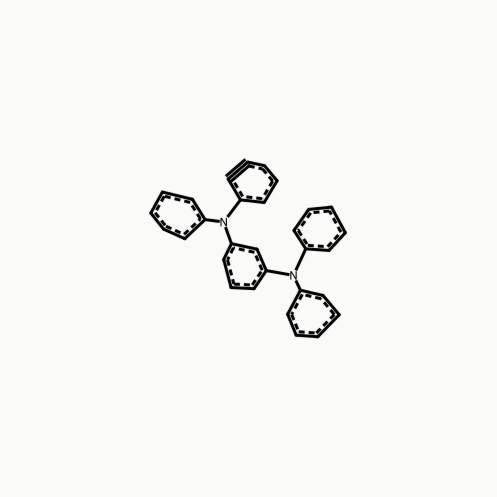 c1cccc(N(c2ccccc2)c2cccc(N(c3ccccc3)c3ccccc3)c2)c#1